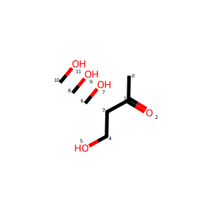 CC(=O)CCO.CO.CO.CO